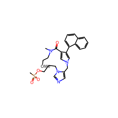 COCCN(C)C(=O)c1cn(Cc2cncn2CCCOS(C)(=O)=O)cc1-c1cccc2ccccc12